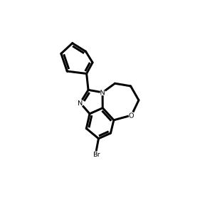 Brc1cc2c3c(c1)nc(-c1ccccc1)n3CCCO2